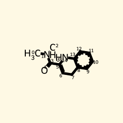 CN(C)C(=O)C1=CCc2ccccc2N1